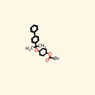 CCC(C)C(=O)OC1CCC(OC(C)(C)c2ccc(-c3ccccc3)cc2)CC1